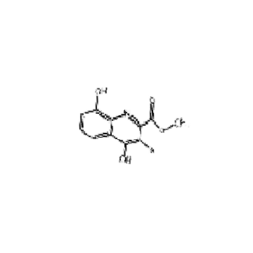 COC(=O)c1nc2c(O)cccc2c(O)c1Br